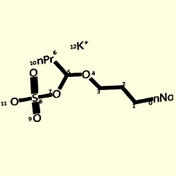 CCCCCCCCCCCCOC(CCC)OS(=O)(=O)[O-].[K+]